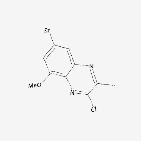 COc1cc(Br)cc2nc(C)c(Cl)nc12